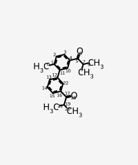 Cc1ccc(C(=O)C(C)C)cc1-c1cccc(C(=O)C(C)C)c1